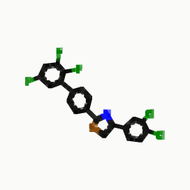 Fc1cc(F)c(F)c(-c2ccc(-c3nc(-c4ccc(Cl)c(Cl)c4)cs3)cc2)c1